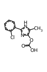 Cc1[nH]c(-c2ccccc2Cl)nc1OC(=O)O